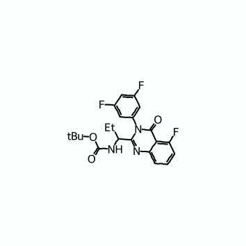 CCC(NC(=O)OC(C)(C)C)c1nc2cccc(F)c2c(=O)n1-c1cc(F)cc(F)c1